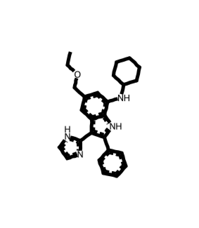 CCOCc1cc(NC2CCCCC2)c2[nH]c(-c3ccccc3)c(-c3ncc[nH]3)c2c1